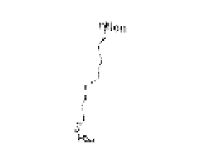 CCCCCCCCCCCCCCCCCCSCCCC